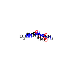 CC(Cc1ccc(-n2ccc(NC(=O)N3CCN(C(=O)C(C)(C)NC(=O)OC(C)(C)C)CC3)nc2=O)cc1)N1CC2(CCC2NC(=O)O)C1